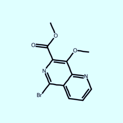 COC(=O)c1nc(Br)c2cccnc2c1OC